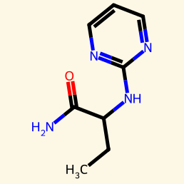 CCC(Nc1ncccn1)C(N)=O